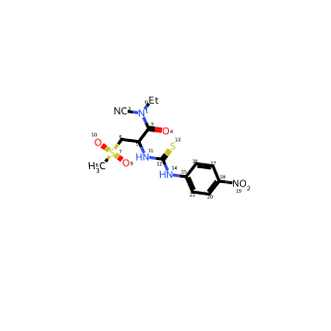 CCN(C#N)C(=O)C(CS(C)(=O)=O)NC(=S)Nc1ccc([N+](=O)[O-])cc1